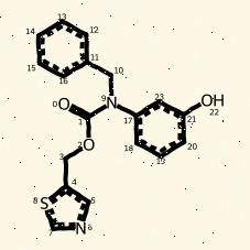 O=C(OCc1cncs1)N(Cc1ccccc1)c1cccc(O)c1